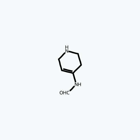 O=CNC1=CCNCC1